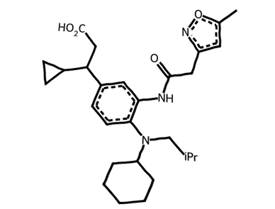 Cc1cc(CC(=O)Nc2cc(C(CC(=O)O)C3CC3)ccc2N(CC(C)C)C2CCCCC2)no1